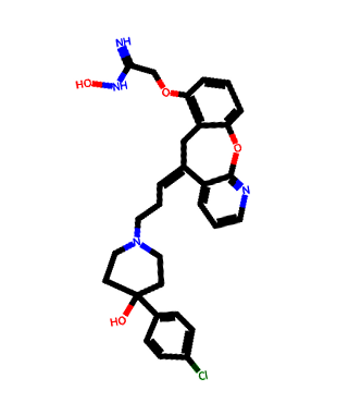 N=C(COc1cccc2c1C/C(=C/CCN1CCC(O)(c3ccc(Cl)cc3)CC1)c1cccnc1O2)NO